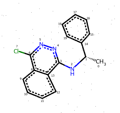 C[C@H](Nc1nnc(Cl)c2ccccc12)c1ccccc1